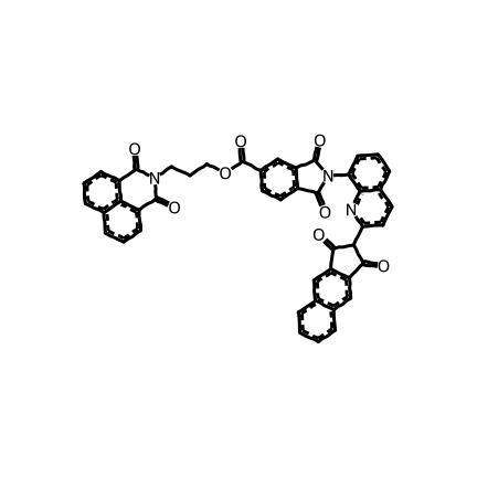 O=C(OCCCN1C(=O)c2cccc3cccc(c23)C1=O)c1ccc2c(c1)C(=O)N(c1cccc3ccc(C4C(=O)c5cc6ccccc6cc5C4=O)nc13)C2=O